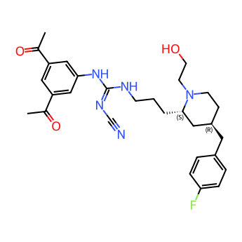 CC(=O)c1cc(NC(=NC#N)NCCC[C@H]2C[C@H](Cc3ccc(F)cc3)CCN2CCO)cc(C(C)=O)c1